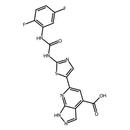 O=C(Nc1ncc(-c2cc(C(=O)O)c3cn[nH]c3n2)s1)Nc1cc(F)ccc1F